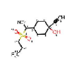 C#CC1(O)CCC(C(C#N)S(=O)(=O)CCC(F)(F)F)CC1